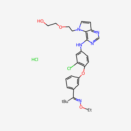 CCON=C(c1cccc(Oc2ccc(Nc3ncnc4ccn(CCOCCO)c34)cc2Cl)c1)C(C)(C)C.Cl